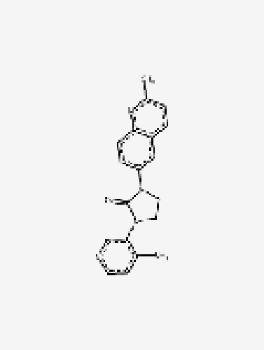 Cc1ccc2cc(N3CCN(c4cnccc4C)C3=O)ccc2n1